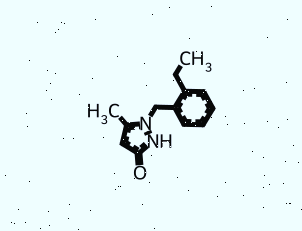 CCc1ccccc1Cn1[nH]c(=O)cc1C